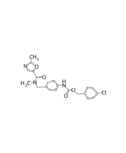 Cc1ncc(C(=O)N(C)Cc2ccc(NC(=O)OCc3ccc(Cl)cc3)cc2)o1